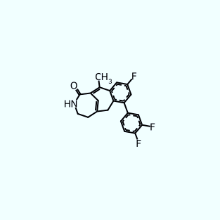 CC1=C2C=C(CCNC2=O)Cc2c1cc(F)cc2-c1ccc(F)c(F)c1